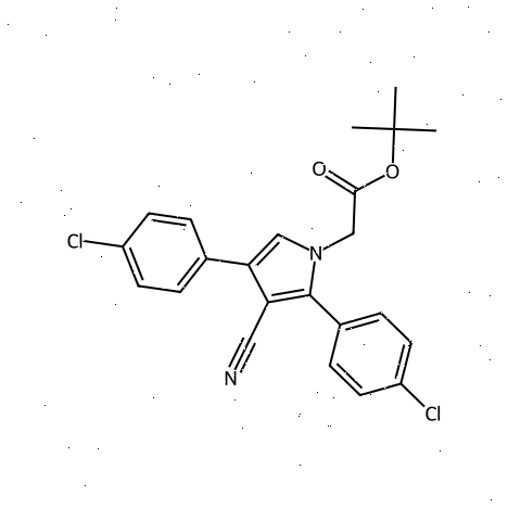 CC(C)(C)OC(=O)Cn1cc(-c2ccc(Cl)cc2)c(C#N)c1-c1ccc(Cl)cc1